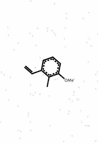 C=[C]c1cccc(OC)c1C